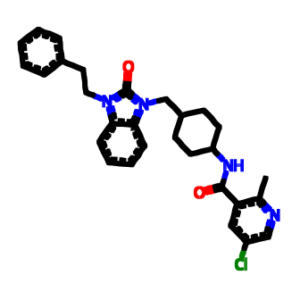 Cc1ncc(Cl)cc1C(=O)NC1CCC(Cn2c(=O)n(CCc3ccccc3)c3ccccc32)CC1